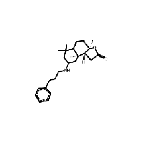 CC1(C)C[C@H](NCCCc2ccccc2)C[C@@]2(C)C1CC[C@@]1(C)OC(=O)C[C@@H]12